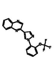 FC(F)(F)Oc1ccccc1-n1cc(-c2cnc3ccccc3n2)cn1